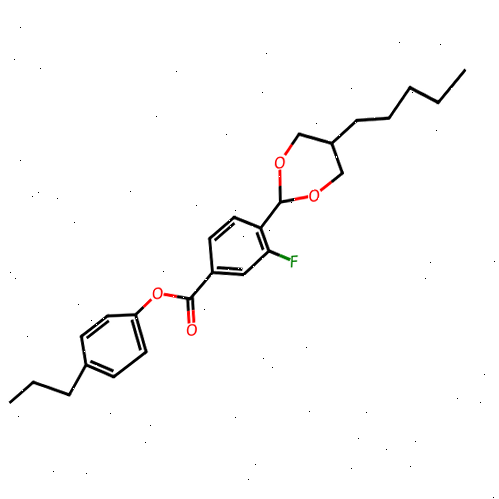 CCCCCC1COC(c2ccc(C(=O)Oc3ccc(CCC)cc3)cc2F)OC1